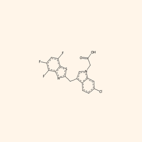 O=C(O)Cn1cc(Cc2nc3c(F)c(F)cc(F)c3s2)c2ccc(Cl)cc21